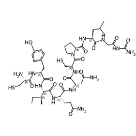 CC[C@H](C)[C@H](NC(=O)[C@H](Cc1ccc(O)cc1)NC(=O)[C@@H](N)CS)C(=O)N[C@@H](CCC(N)=O)C(=O)N[C@@H](CC(N)=O)C(=O)N[C@@H](CS)C(=O)N1CCC[C@H]1C(=O)N[C@@H](CC(C)C)C(=O)NCC(=O)NC(N)=O